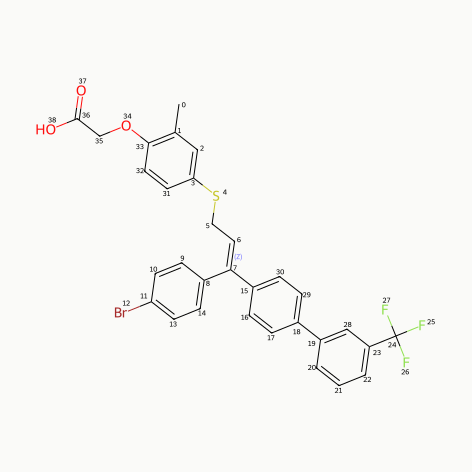 Cc1cc(SC/C=C(\c2ccc(Br)cc2)c2ccc(-c3cccc(C(F)(F)F)c3)cc2)ccc1OCC(=O)O